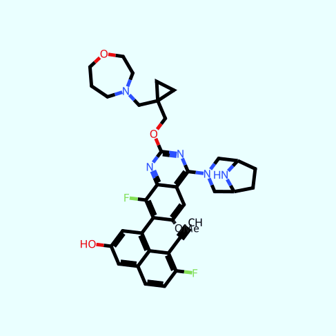 C#Cc1c(F)ccc2cc(O)cc(-c3c(OC)cc4c(N5CC6CCC(C5)N6)nc(OCC5(CN6CCCOCC6)CC5)nc4c3F)c12